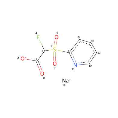 O=C([O-])C(F)S(=O)(=O)c1ccccn1.[Na+]